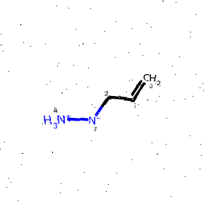 C=CC[N-][NH3+]